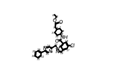 CCOC(=O)CC1CCC(NC(=O)c2cc(Cl)cc3cnn(Cc4cnc(-c5ccccc5)cn4)c23)CC1